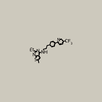 CCc1nc(NCCCc2ccc(-c3ccc(C(F)(F)F)cn3)cc2)c2cc(C)sc2n1